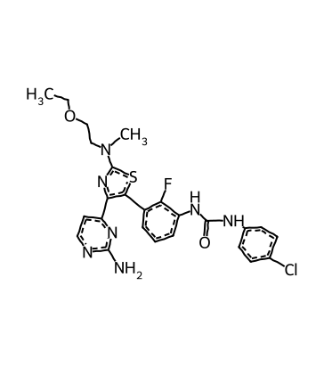 CCOCCN(C)c1nc(-c2ccnc(N)n2)c(-c2cccc(NC(=O)Nc3ccc(Cl)cc3)c2F)s1